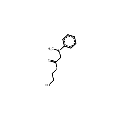 CN(CC(=O)OCCO)c1ccccc1